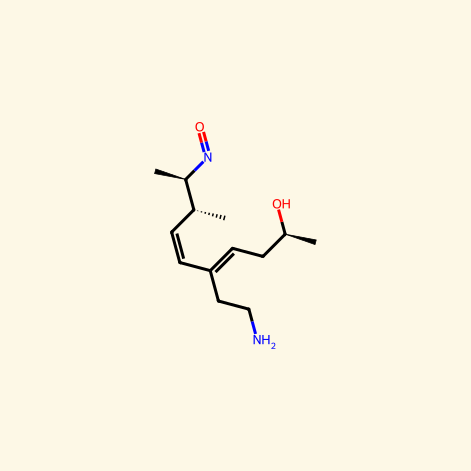 C[C@H](O)CC=C(/C=C\[C@@H](C)[C@@H](C)N=O)CCN